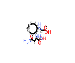 NC(=O)CC(N)C(=O)O.O=C(O)CNC1CCCCCCCCCC1